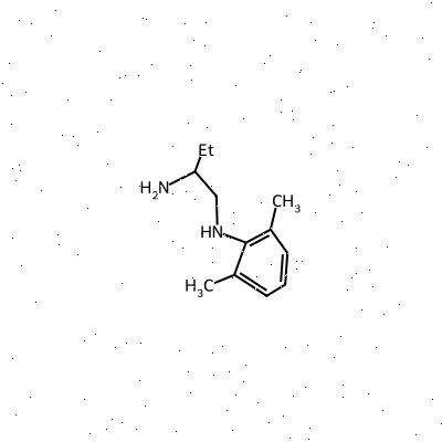 CCC(N)CNc1c(C)cccc1C